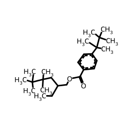 CCC(COC(=O)c1ccc(C(C)(C)C(C)(C)C)cc1)CC(C)(C)C(C)(C)C